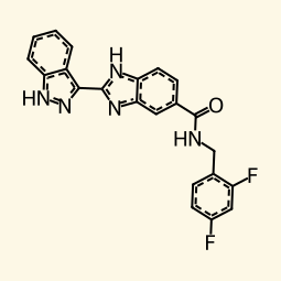 O=C(NCc1ccc(F)cc1F)c1ccc2[nH]c(-c3n[nH]c4ccccc34)nc2c1